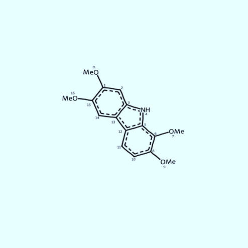 COc1cc2[nH]c3c(OC)c(OC)ccc3c2cc1OC